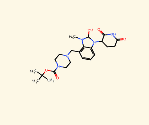 CN1c2c(CN3CCN(C(=O)OC(C)(C)C)CC3)cccc2N(C2CCC(=O)NC2=O)C1O